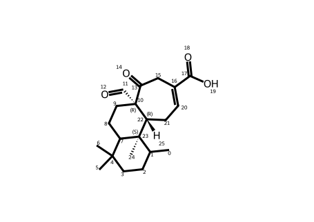 CC1CCC(C)(C)C2CC[C@@]3(C=O)C(=O)CC(C(=O)O)=CC[C@@H]3[C@@]12C